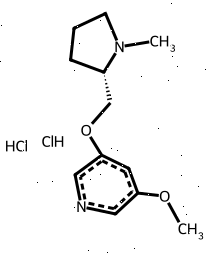 COc1cncc(OC[C@@H]2CCCN2C)c1.Cl.Cl